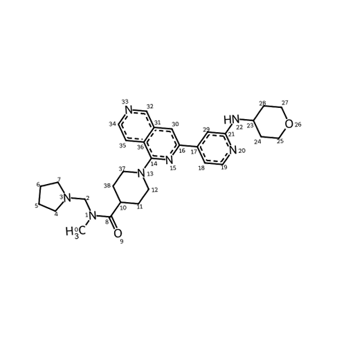 CN(CN1CCCC1)C(=O)C1CCN(c2nc(-c3ccnc(NC4CCOCC4)c3)cc3cnccc23)CC1